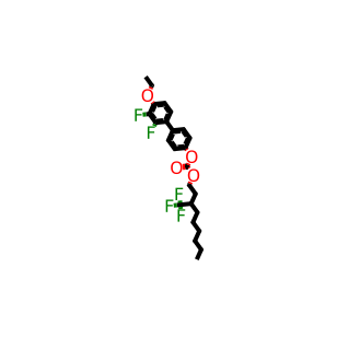 CCCCCCC(CCOC(=O)Oc1ccc(-c2ccc(OCC)c(F)c2F)cc1)C(F)(F)F